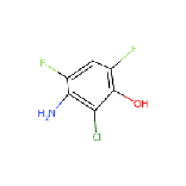 Nc1c(F)cc(F)c(O)c1Cl